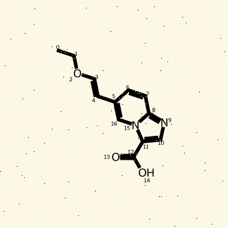 CCOC=Cc1ccc2ncc(C(=O)O)n2c1